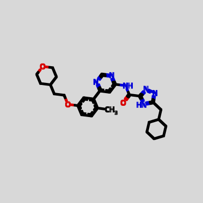 Cc1ccc(OCCC2CCOCC2)cc1-c1cc(NC(=O)c2nnc(CC3CCCCC3)[nH]2)ncn1